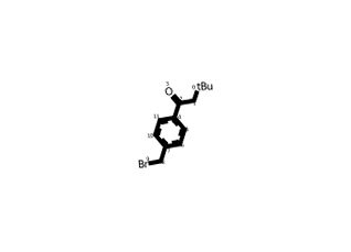 CC(C)(C)CC(=O)c1ccc(CBr)cc1